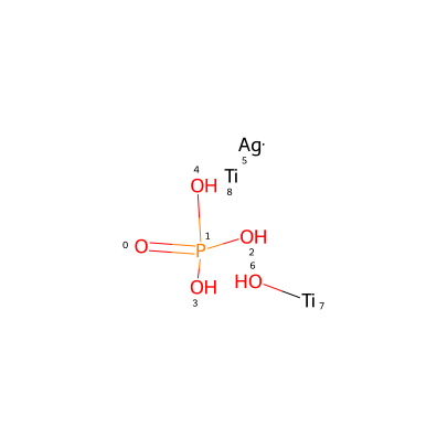 O=P(O)(O)O.[Ag].[OH][Ti].[Ti]